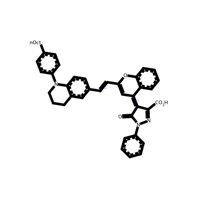 CCCCCCCCc1ccc(N2CCCc3cc(/C=C/C4=CC(=C5\C(=O)N(c6ccccc6)N=C5C(=O)O)/c5ccccc5O4)ccc32)cc1